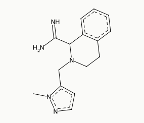 Cn1nccc1CN1CCc2ccccc2C1C(=N)N